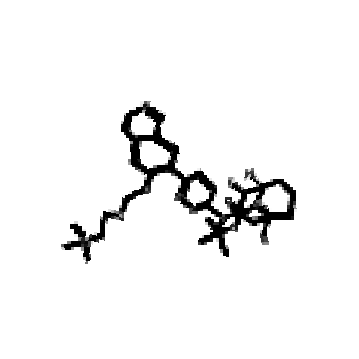 CN(c1ccc(-c2cc3cnccc3cc2OCOCC[Si](C)(C)C)nn1)[C@@H]1C[C@H]2CCC[C@H]([C@@H]1F)N2C(=O)OC(C)(C)C